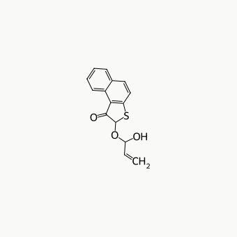 C=CC(O)OC1Sc2ccc3ccccc3c2C1=O